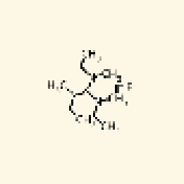 CCN(C)[S+](N(C)CC)N(C)CC.F.[F-]